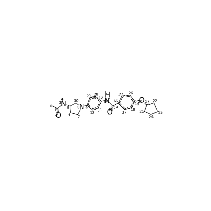 CC(=O)N(C)C1CCN(c2ccc(NC(=O)c3ccc(OC4CCCC4)cc3)cc2)C1